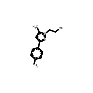 Cc1[c]cc(-c2cc(C)n(CCO)n2)cc1